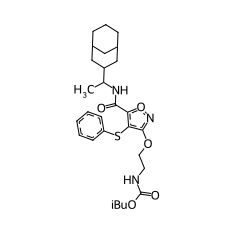 CC(C)COC(=O)NCCOc1noc(C(=O)NC(C)C2CC3CCCC(C3)C2)c1Sc1ccccc1